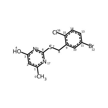 Cc1cc(O)nc(SCc2cc(Br)ccc2Cl)n1